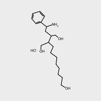 Cl.NC(CC(CO)C(CO)CCCCCCCCO)c1ccccc1